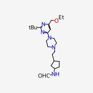 CCOCc1cc(N2CCN(CCC3CCC(NC=O)C3)CC2)nc(C(C)(C)C)n1